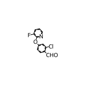 O=Cc1ccc(Oc2ncccc2F)cc1Cl